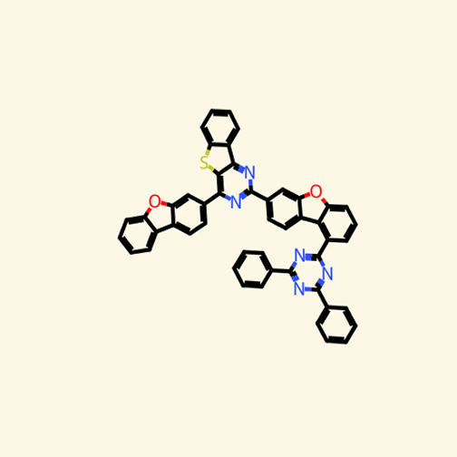 c1ccc(-c2nc(-c3ccccc3)nc(-c3cccc4oc5cc(-c6nc(-c7ccc8c(c7)oc7ccccc78)c7sc8ccccc8c7n6)ccc5c34)n2)cc1